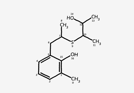 Cc1cccc(CC(C)SC(C)C(C)O)c1O